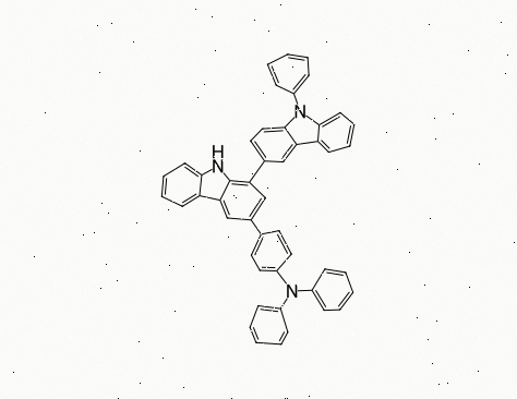 c1ccc(N(c2ccccc2)c2ccc(-c3cc(-c4ccc5c(c4)c4ccccc4n5-c4ccccc4)c4[nH]c5ccccc5c4c3)cc2)cc1